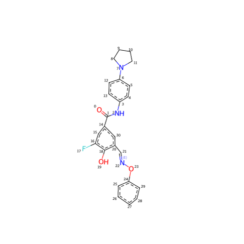 O=C(Nc1ccc(N2CCCC2)cc1)c1cc(F)c(O)c(/C=N/Oc2ccccc2)c1